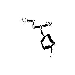 COOB(O)c1ccc(F)cc1